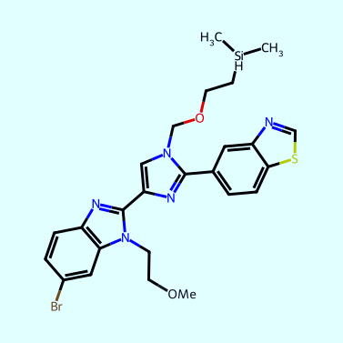 COCCn1c(-c2cn(COCC[SiH](C)C)c(-c3ccc4scnc4c3)n2)nc2ccc(Br)cc21